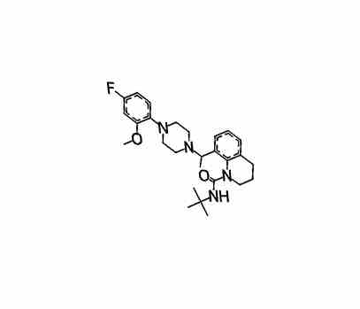 COc1cc(F)ccc1N1CCN(C(C)c2cccc3c2N(C(=O)NC(C)(C)C)CCC3)CC1